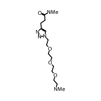 CNCCOCCOCCOCCn1cc(CCC(=O)NC)nn1